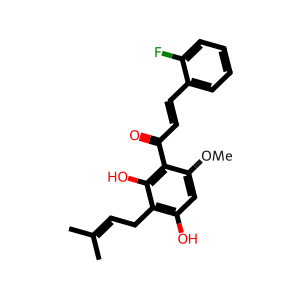 COc1cc(O)c(CC=C(C)C)c(O)c1C(=O)C=Cc1ccccc1F